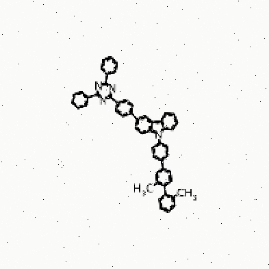 Cc1ccccc1-c1ccc(-c2ccc(-n3c4ccccc4c4cc(-c5ccc(-c6nc(-c7ccccc7)nc(-c7ccccc7)n6)cc5)ccc43)cc2)cc1C